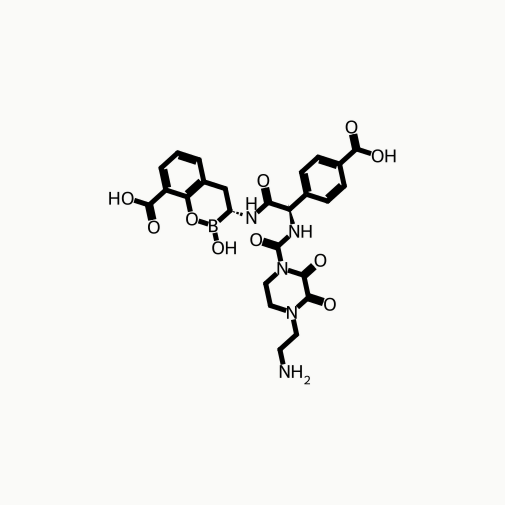 NCCN1CCN(C(=O)N[C@@H](C(=O)N[C@H]2Cc3cccc(C(=O)O)c3OB2O)c2ccc(C(=O)O)cc2)C(=O)C1=O